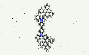 c1ccc(-c2c(-c3ccccc3)c3cc(N(c4ccccc4)c4ccc(-c5ccc(N(c6ccccc6)c6ccc7c(c6)c(-c6ccccc6)c(-c6ccccc6)c6ccccc67)cc5)cc4)ccc3c3ccccc23)cc1